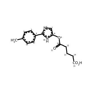 Cc1ccc(-c2ncc(OC(=O)CCCC(=O)O)[nH]2)cc1